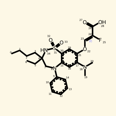 CCCCC1(CC)CN(c2ccccc2)c2cc(N(C)C)c(O/C=C(\F)C(=O)O)cc2S(=O)(=O)N1